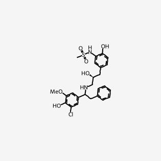 COc1cc(C(Cc2ccccc2)NC[C@@H](O)Cc2ccc(O)c(NS(C)(=O)=O)c2)cc(Cl)c1O